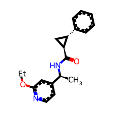 CCOc1cc([C@H](C)NC(=O)[C@H]2C[C@@H]2c2ccccc2)ccn1